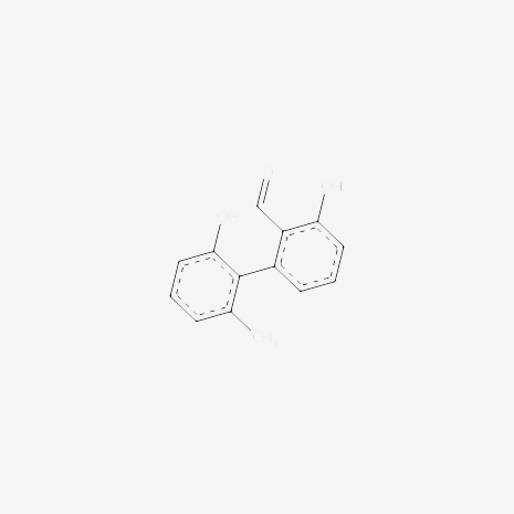 Cc1cccc(O)c1-c1cccc(O)c1C=O